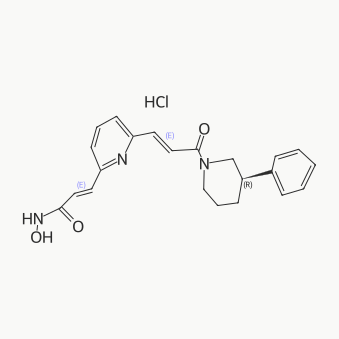 Cl.O=C(/C=C/c1cccc(/C=C/C(=O)N2CCC[C@H](c3ccccc3)C2)n1)NO